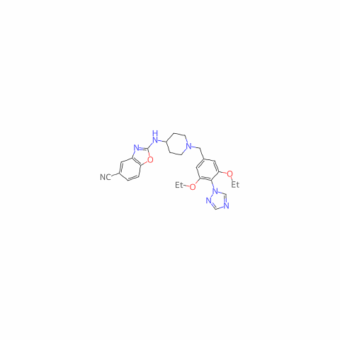 CCOc1cc(CN2CCC(Nc3nc4cc(C#N)ccc4o3)CC2)cc(OCC)c1-n1cncn1